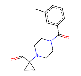 [CH2]c1cccc(C(=O)N2CCN(C3(C=O)CC3)CC2)c1